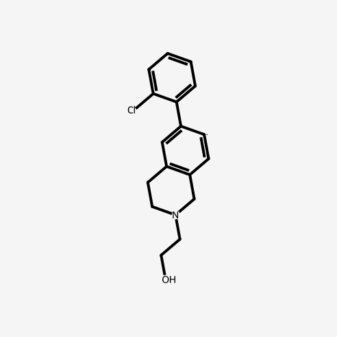 OCCN1CCc2cc(-c3ccccc3Cl)[c]cc2C1